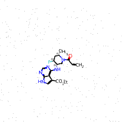 C=CC(=O)N1C[C@H](Nc2ncnc3[nH]cc(C(=O)OCC)c23)[C@@H](F)C[C@@H]1C